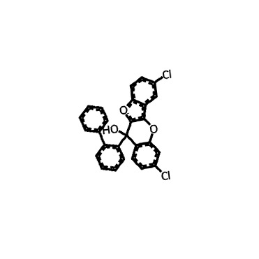 OC1(c2ccccc2-c2ccccc2)c2ccc(Cl)cc2Oc2c1oc1ccc(Cl)cc21